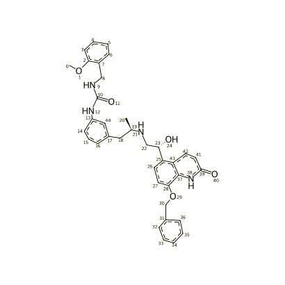 COc1ccccc1CNC(=O)Nc1cccc(C[C@@H](C)NC[C@H](O)c2ccc(OCc3ccccc3)c3[nH]c(=O)ccc23)c1